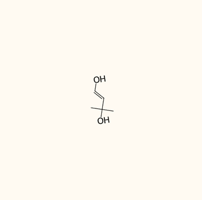 CC(C)(O)C=CO